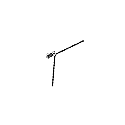 C#CC#CC#CC#CC#CC#CC#CC#CC#CC#CC#CN(C#CC#CC#CC#CC#CC#CC#CC#CC#CC#CC#C)C(=O)c1ccc(S(=O)(=O)F)cc1